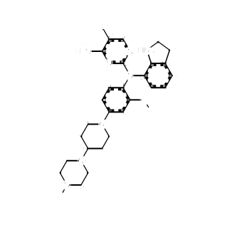 COc1cc(N2CCC(N3CCN(C)CC3)CC2)ccc1N(c1ncc(Cl)c(N)n1)c1cccc2c1NCC2